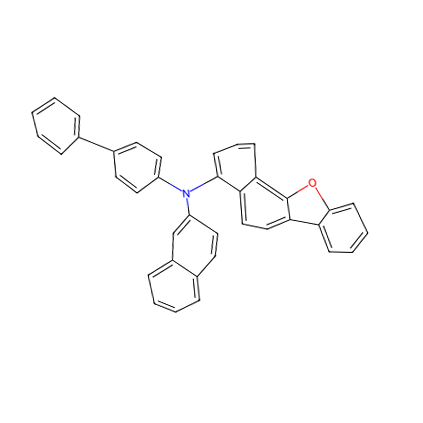 c1ccc(-c2ccc(N(c3ccc4ccccc4c3)c3cccc4c3ccc3c5ccccc5oc43)cc2)cc1